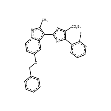 CCOC(=O)c1sc(-c2c(C)nn3ccc(OCc4ccccc4)cc23)nc1-c1ccccc1F